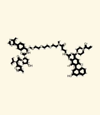 C=CC(=O)N1CCN(c2nc(NCCC(=O)N(C)CCOCCOCCOC[C@H](NC(=O)[C@@H]3C[C@@H](O)CN3C(=O)[C@@H](c3cc(C)no3)C(C)C)c3ccc(-c4scnc4C)cc3)nc3c(F)c(-c4cc(O)cc5ccccc45)c(Cl)cc23)CC1